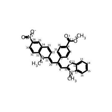 COC(=O)c1ccc(C(=C\c2sc3ccccc3[n+]2C)/C=C2\C=Cc3cc([N+](=O)[O-])ccc3N2C)cc1